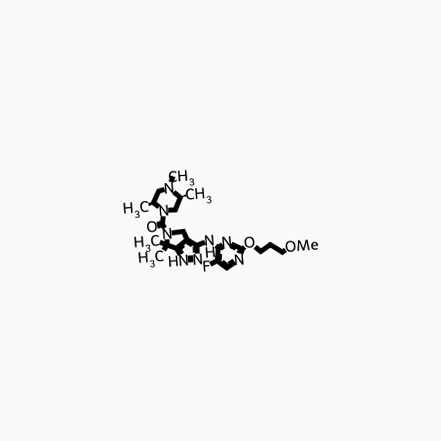 COCCCOc1ncc(F)c(Nc2n[nH]c3c2CN(C(=O)N2C[C@@H](C)N(C)C[C@@H]2C)C3(C)C)n1